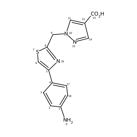 Nc1ccc(-c2csc(Cn3cc(C(=O)O)cn3)n2)cc1